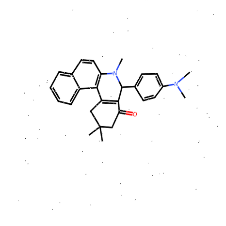 CN(C)c1ccc(C2C3=C(CC(C)(C)CC3=O)c3c(ccc4ccccc34)N2C)cc1